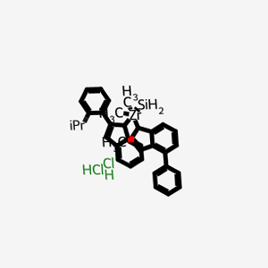 CC1=Cc2c(-c3ccccc3)cccc2[CH]1[Zr]([CH3])([CH3])(=[SiH2])[CH]1C(c2ccccc2C(C)C)=Cc2ccccc21.Cl.Cl